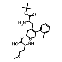 CSCC[C@H](NN1CCC(CC(N)C(=O)OC(C)(C)C)=C(c2ccccc2C)C1)C(=O)O